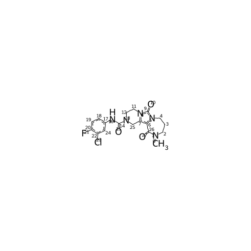 CN1CCCn2c(c3n(c2=O)CCN(C(=O)Nc2ccc(F)c(Cl)c2)C3)C1=O